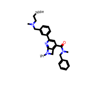 CNCCN(C)Cc1cccc(-c2cc(C(=O)N(C)Cc3ccccc3)c3c(n2)N(C(C)C)C3)c1